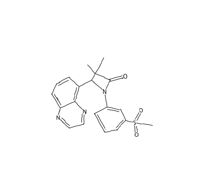 CC1(C)C(=O)N(c2cccc(S(C)(=O)=O)c2)C1c1cccc2nccnc12